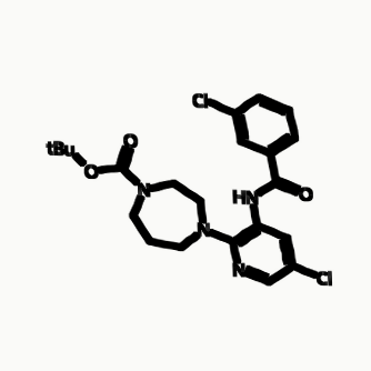 CC(C)(C)OC(=O)N1CCCN(c2ncc(Cl)cc2NC(=O)c2cccc(Cl)c2)CC1